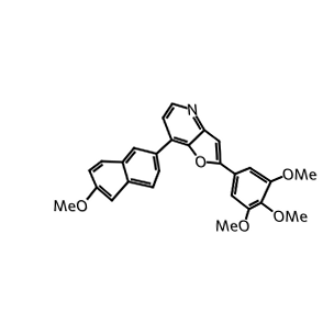 COc1ccc2cc(-c3ccnc4cc(-c5cc(OC)c(OC)c(OC)c5)oc34)ccc2c1